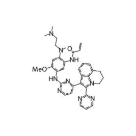 C=CC(=O)Nc1cc(Nc2nccc(-c3c(-c4ncccn4)n4c5c(cccc35)CCC4)n2)c(OC)cc1N(C)CCN(C)C